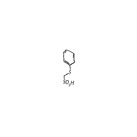 O=S(=O)(O)CSc1ccccc1